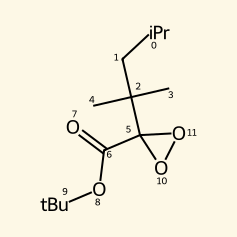 CC(C)CC(C)(C)C1(C(=O)OC(C)(C)C)OO1